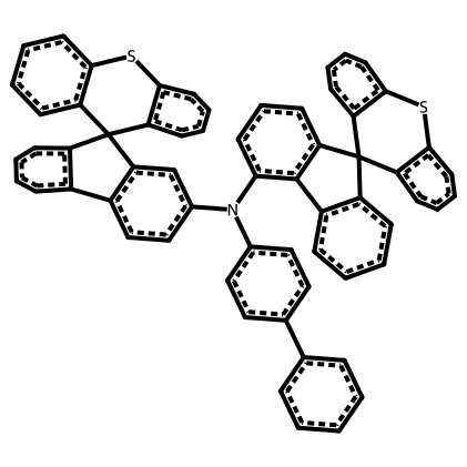 c1ccc(-c2ccc(N(c3ccc4c(c3)C3(c5ccccc5Sc5ccccc53)c3ccccc3-4)c3cccc4c3-c3ccccc3C43c4ccccc4Sc4ccccc43)cc2)cc1